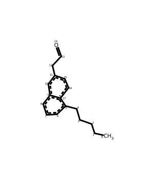 CCCCCc1cccc2cc(CC=O)ccc12